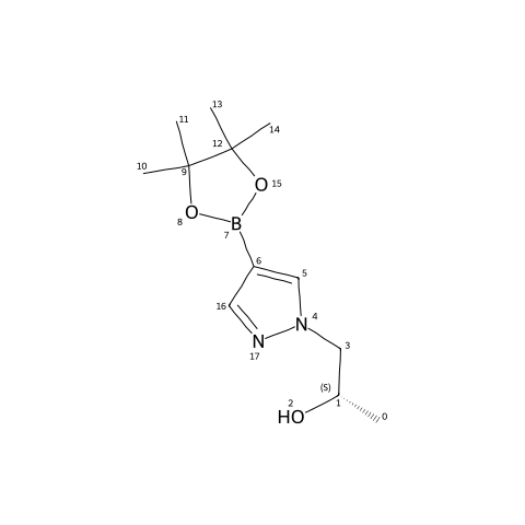 C[C@H](O)Cn1cc(B2OC(C)(C)C(C)(C)O2)cn1